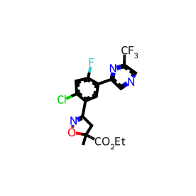 CCOC(=O)C1(C)CC(c2cc(-c3cncc(C(F)(F)F)n3)c(F)cc2Cl)=NO1